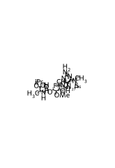 COC(CO[PH](=O)N[C@@H](C)C(=O)OC(C)C)[C@@H](O)[C@@](C)(F)n1cnc2c(N(C)C3CC3)nc(N)nc21